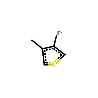 Cc1cs[c]c1C(C)C